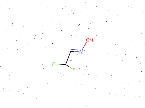 ON=CC(F)F